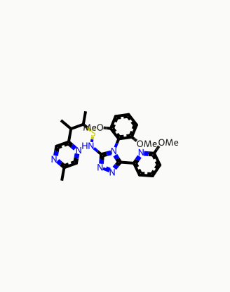 COc1cccc(-c2nnc(NSC(C)C(C)c3cnc(C)cn3)n2-c2c(OC)cccc2OC)n1